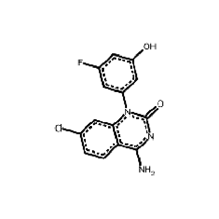 Nc1nc(=O)n(-c2cc(O)cc(F)c2)c2cc(Cl)ccc12